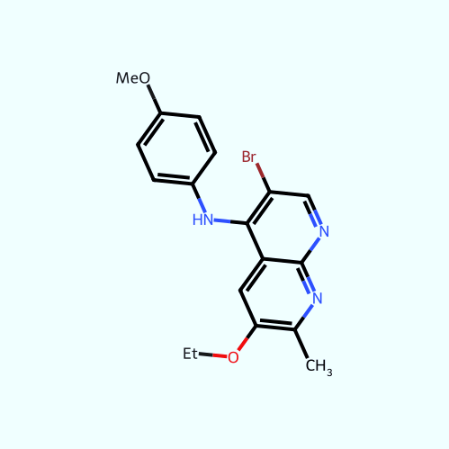 CCOc1cc2c(Nc3ccc(OC)cc3)c(Br)cnc2nc1C